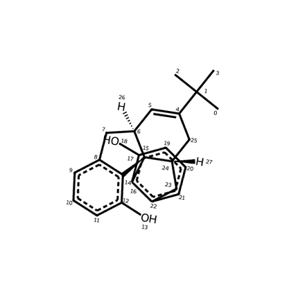 CC(C)(C)C1=C[C@@H]2Cc3cccc(O)c3[C@@]23c2c(O)cccc2C[C@H]3C1